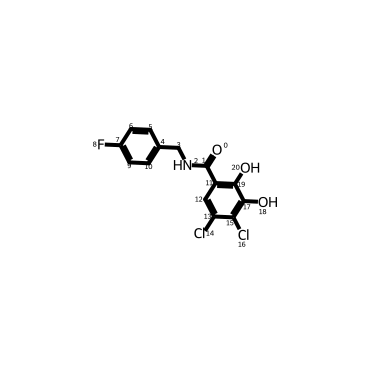 O=C(NCc1ccc(F)cc1)c1cc(Cl)c(Cl)c(O)c1O